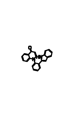 O=c1ccn(-c2ccccc2-c2cc3ccccc3[nH]2)c2ccccc12